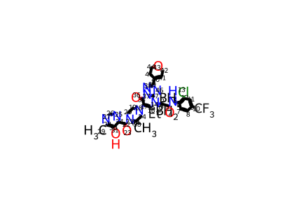 BC(B)(C(=O)Nc1ccc(C(F)(F)F)cc1Cl)n1c(CC)c(N2CCN(C(=O)c3ncnc(C)c3O)[C@H](C)C2)c(=O)n2nc(C3=CCOCC3)nc12